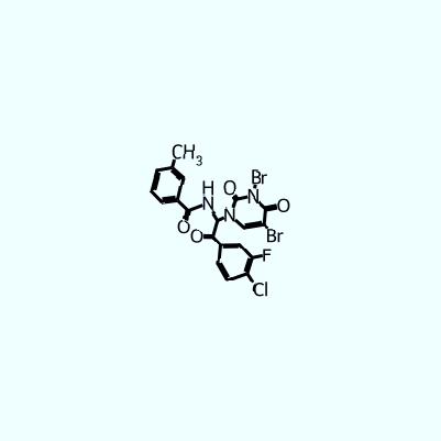 Cc1cccc(C(=O)NC(C(=O)c2ccc(Cl)c(F)c2)n2cc(Br)c(=O)n(Br)c2=O)c1